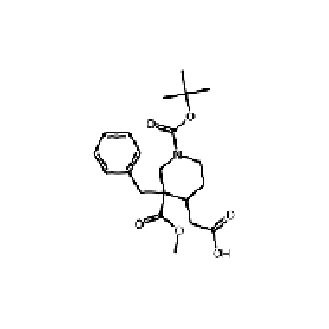 COC(=O)C1(Cc2ccccc2)CN(C(=O)OC(C)(C)C)CCC1CC(=O)O